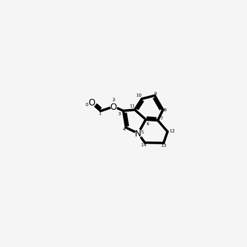 O=[C]Oc1cn2c3c(cccc13)CCC2